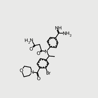 CC(c1ccc(C(=O)N2CCOCC2)c(Br)c1)N(C(=O)CC(N)=O)c1ccc(C(=N)N)cc1